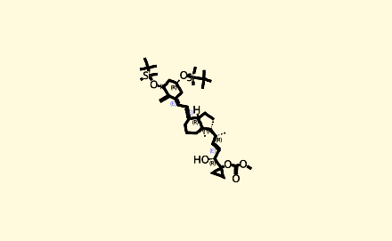 C=C1/C(=C/C=C2\CCC[C@]3(C)[C@@H]([C@H](C)/C=C/[C@@H](O)C4(OC(=O)OC)CC4)CC[C@@H]23)C[C@@H](O[Si](C)(C)C(C)(C)C)C[C@@H]1O[Si](C)(C)C(C)(C)C